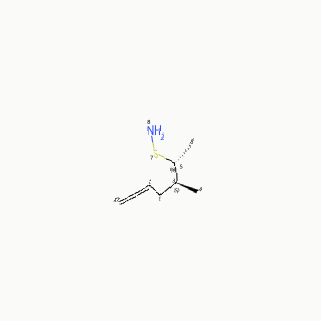 C=CC[C@H](C)[C@@H](C)SN